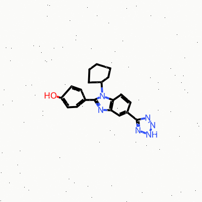 Oc1ccc(-c2nc3cc(-c4nn[nH]n4)ccc3n2C2CCCCC2)cc1